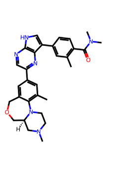 Cc1cc(-c2c[nH]c3ncc(-c4cc(C)c5c(c4)COC[C@@H]4CN(C)CCN54)nc23)ccc1C(=O)N(C)C